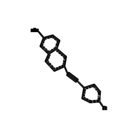 CCCCc1ccc2cc(C#Cc3ccc(CC)cc3)ccc2c1